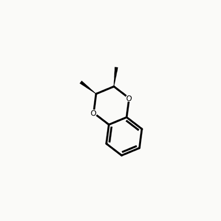 C[C@@H]1Oc2ccccc2O[C@@H]1C